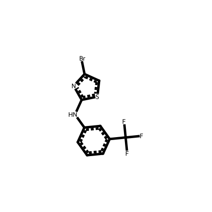 FC(F)(F)c1cccc(Nc2nc(Br)cs2)c1